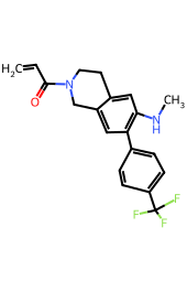 C=CC(=O)N1CCc2cc(NC)c(-c3ccc(C(F)(F)F)cc3)cc2C1